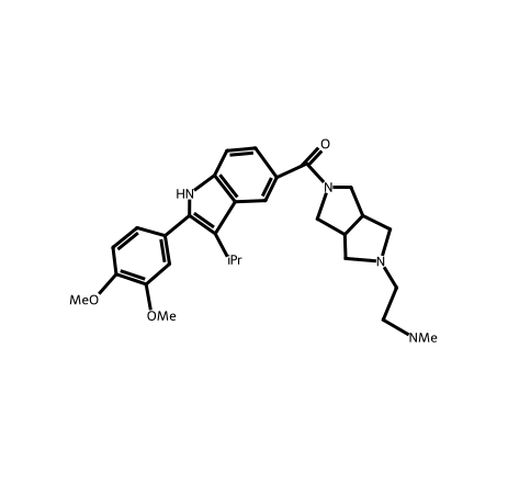 CNCCN1CC2CN(C(=O)c3ccc4[nH]c(-c5ccc(OC)c(OC)c5)c(C(C)C)c4c3)CC2C1